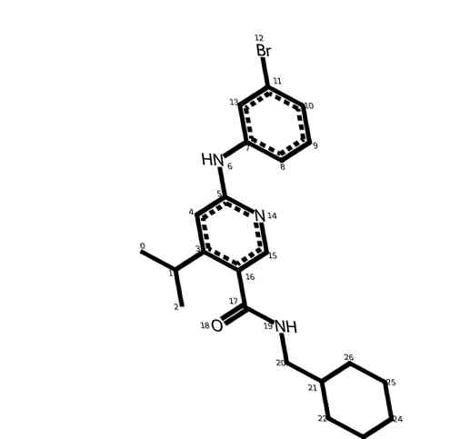 CC(C)c1cc(Nc2cccc(Br)c2)ncc1C(=O)NCC1CCCCC1